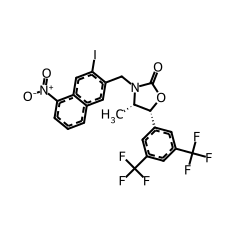 C[C@H]1[C@@H](c2cc(C(F)(F)F)cc(C(F)(F)F)c2)OC(=O)N1Cc1cc2cccc([N+](=O)[O-])c2cc1I